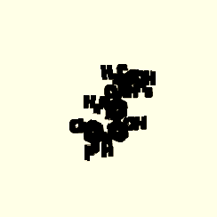 CC(C)(CO)CNC(=O)c1ccc(-c2cc(Nc3ccc(Cl)cc3CF)ccc2O)nc1N